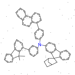 CC1(C)c2ccccc2-c2cccc(-c3cccc(N(c4ccc(-c5cccc6c5ccc5ccccc56)cc4)c4ccc5c(c4)C4(CC6CCC4C6)c4ccccc4-5)c3)c21